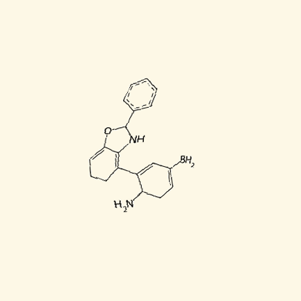 BC1=CCC(N)C(C2=C3NC(c4ccccc4)OC3=CCC2)=C1